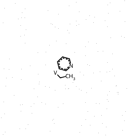 C[CH2][V].c1ccncc1